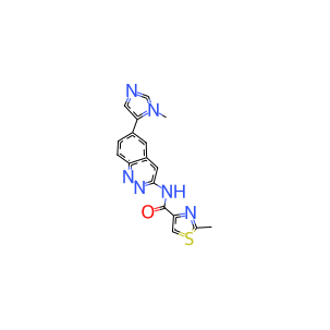 Cc1nc(C(=O)Nc2cc3cc(-c4cncn4C)ccc3nn2)cs1